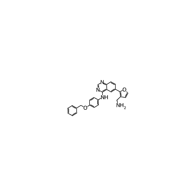 NCc1ccoc1-c1ccc2ncnc(Nc3ccc(OCc4ccccc4)cc3)c2c1